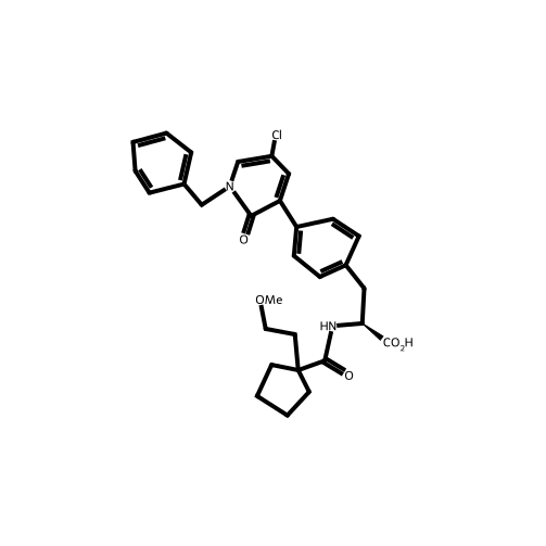 COCCC1(C(=O)N[C@@H](Cc2ccc(-c3cc(Cl)cn(Cc4ccccc4)c3=O)cc2)C(=O)O)CCCC1